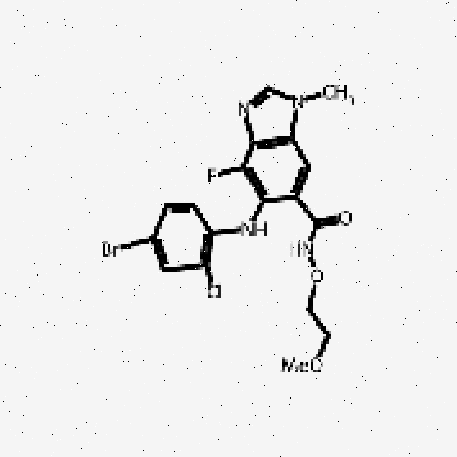 COCCONC(=O)c1cc2c(ncn2C)c(F)c1Nc1ccc(Br)cc1Cl